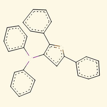 c1ccc(-c2cc(P(c3ccccc3)c3ccccc3)c(-c3ccccc3)s2)cc1